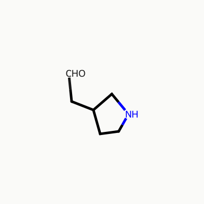 O=CCC1CCNC1